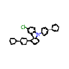 Clc1ccc2c(c1)c1c(C3C=CC(C4C=CC=CC4)=CC3)cccc1n2-c1ccc(-c2ccccc2)cc1